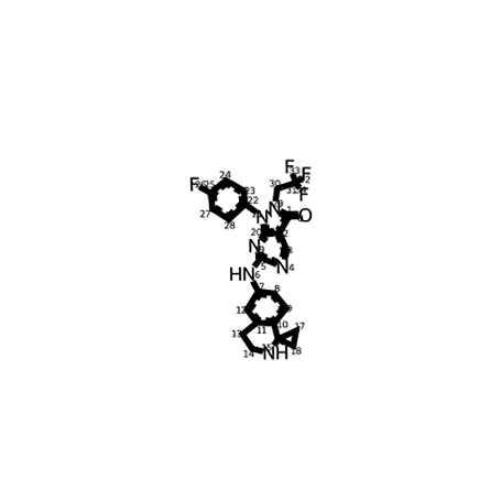 O=c1c2cnc(Nc3ccc4c(c3)CCNC43CC3)nc2n(-c2ccc(F)cc2)n1CC(F)(F)F